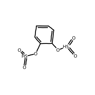 O=[SH](=O)Oc1ccccc1O[SH](=O)=O